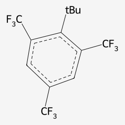 CC(C)(C)c1c(C(F)(F)F)cc(C(F)(F)F)cc1C(F)(F)F